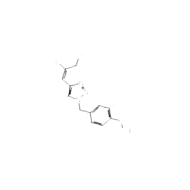 COc1ccc(Cn2cc(/C=C(/F)CO)nn2)cc1